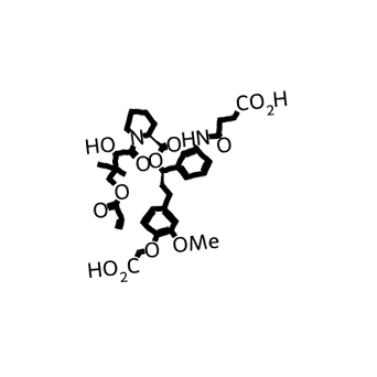 C=CC(=O)OCC(C)(C)C(O)C(=O)N1CCCC[C@H]1C(=O)O[C@H](CCc1ccc(OCC(=O)O)c(OC)c1)c1cccc(NC(=O)CCC(=O)O)c1